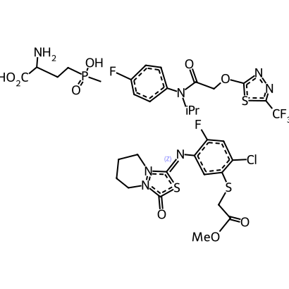 CC(C)N(C(=O)COc1nnc(C(F)(F)F)s1)c1ccc(F)cc1.COC(=O)CSc1cc(/N=c2\sc(=O)n3n2CCCC3)c(F)cc1Cl.CP(=O)(O)CCC(N)C(=O)O